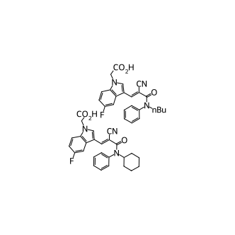 CCCCN(C(=O)/C(C#N)=C/c1cn(CC(=O)O)c2ccc(F)cc12)c1ccccc1.N#C/C(=C\c1cn(CC(=O)O)c2ccc(F)cc12)C(=O)N(c1ccccc1)C1CCCCC1